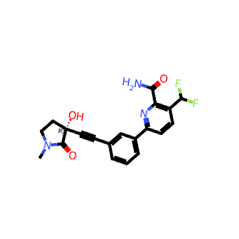 CN1CC[C@@](O)(C#Cc2cccc(-c3ccc(C(F)F)c(C(N)=O)n3)c2)C1=O